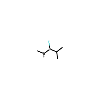 CBB(F)C(C)C